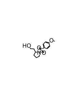 COc1ccc(S(=O)(=O)N2CCCC2CCO)cc1